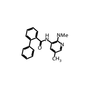 CNc1ncc(C)cc1NC(=O)c1ccccc1-c1ccccc1